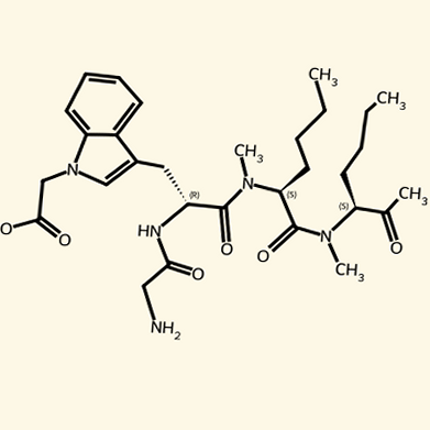 CCCC[C@@H](C(=O)N(C)[C@@H](CCCC)C(C)=O)N(C)C(=O)[C@@H](Cc1cn(CC(=O)O)c2ccccc12)NC(=O)CN